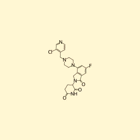 O=C1CCC(N2Cc3c(cc(F)cc3N3CCN(Cc4ccncc4Cl)CC3)C2=O)C(=O)N1